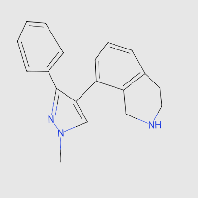 Cn1cc(-c2cccc3c2CNCC3)c(-c2ccccc2)n1